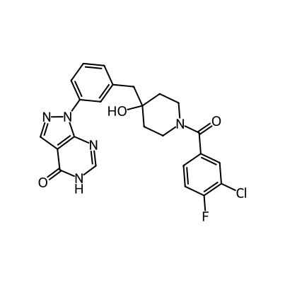 O=C(c1ccc(F)c(Cl)c1)N1CCC(O)(Cc2cccc(-n3ncc4c(=O)[nH]cnc43)c2)CC1